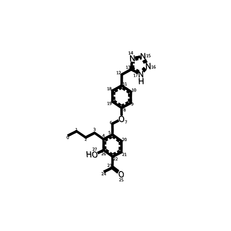 CCCCc1c(COc2ccc(Cc3nnn[nH]3)cc2)ccc(C(C)=O)c1O